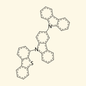 c1ccc2c(c1)sc1c(-n3c4ccccc4c4cc(-n5c6ccccc6c6ccccc65)ccc43)cccc12